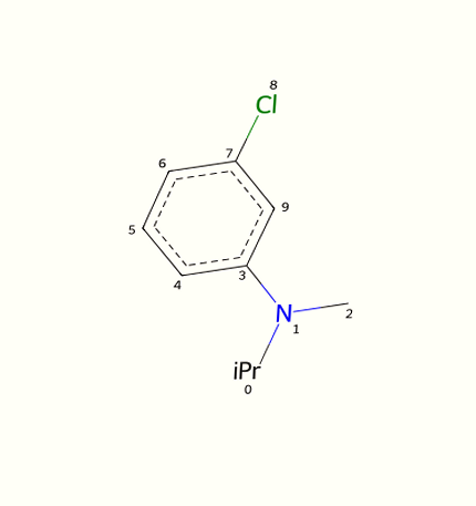 CC(C)N(C)c1cccc(Cl)c1